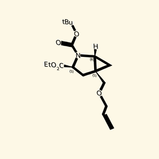 C=CCOC[C@@]12C[C@@H](C(=O)OCC)N(C(=O)OC(C)(C)C)[C@@H]1C2